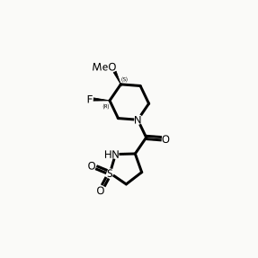 CO[C@H]1CCN(C(=O)C2CCS(=O)(=O)N2)C[C@H]1F